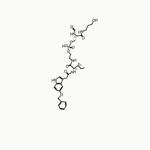 CC[C@H](C)[C@H](NC(=O)Cc1c[nH]c2ccc(OCc3ccccc3)cc12)C(=O)NCCOP(=O)(O)OC[C@H](NC=O)C(=O)NCCCO